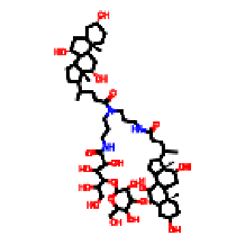 CC(CCC(=O)NCCCN(CCCNC(=O)C(O)C(O)C(OC1OC(CO)C(O)C(O)C1O)C(O)CO)C(=O)CCC(C)C1CCC2C3C(C[C@H](O)[C@]12C)[C@@]1(C)CC[C@@H](O)CC1C[C@H]3O)C1CCC2C3C(C[C@H](O)[C@]12C)[C@@]1(C)CC[C@@H](O)CC1C[C@H]3O